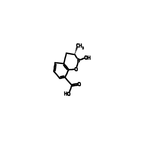 C[C@H]1Cc2cccc(C(=O)O)c2OB1O